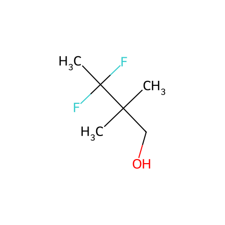 CC(F)(F)C(C)(C)CO